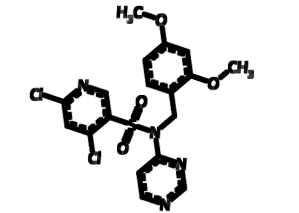 COc1ccc(CN(c2ccncn2)S(=O)(=O)c2cnc(Cl)cc2Cl)c(OC)c1